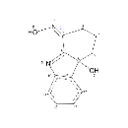 O/N=C1/CCCC2(O)C1=Nc1ccccc12